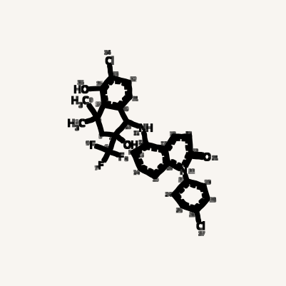 CC1(C)CC(O)(C(F)(F)F)C(Nc2cccc3c2ccc(=O)n3-c2ccc(Cl)cc2)c2ccc(Cl)c(O)c21